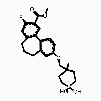 COC(=O)c1cc2c(cc1F)CCCc1cc(OCC3(C)CCS(O)(O)CC3)ccc1-2